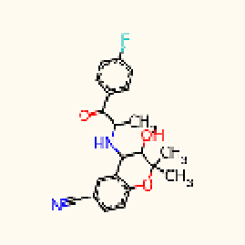 CC(NC1c2cc(C#N)ccc2OC(C)(C)C1O)C(=O)c1ccc(F)cc1